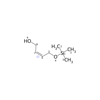 C[Si](C)(C)OC/C=C\CO